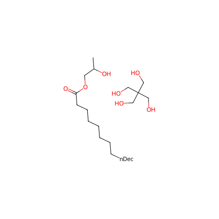 CCCCCCCCCCCCCCCCCC(=O)OCC(C)O.OCC(CO)(CO)CO